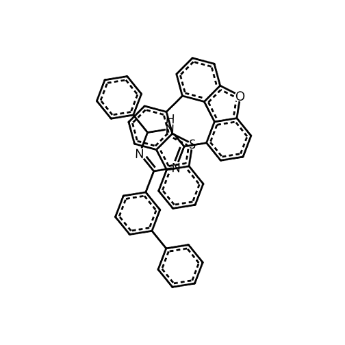 c1ccc(-c2cccc(C3=NC(c4ccccc4)NC(c4cccc5oc6cccc(-c7cccc8c7sc7ccccc78)c6c45)=N3)c2)cc1